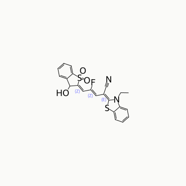 CCN1/C(=C(C#N)/C=C(F)/C=C2/C(O)c3ccccc3S2(=O)=O)Sc2ccccc21